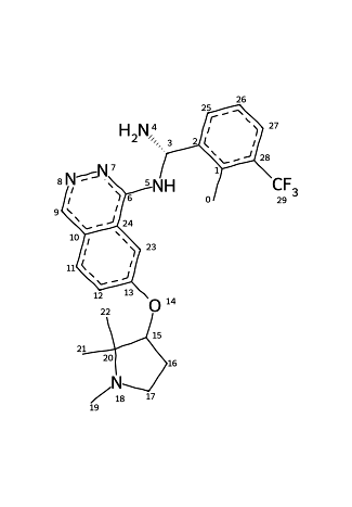 Cc1c([C@@H](N)Nc2nncc3ccc(OC4CCN(C)C4(C)C)cc23)cccc1C(F)(F)F